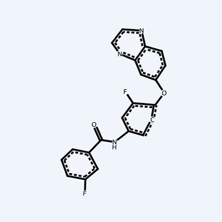 O=C(Nc1ccc(Oc2ccc3nccnc3c2)c(F)c1)c1cccc(F)c1